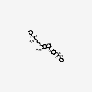 COc1cc2c(Oc3ccc(NC(=O)Nc4ccccc4)cc3)ccnc2cc1OCCC[C@H](N)C(=O)OC1CCCC1